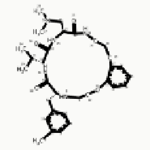 Cc1cccc(C[C@H]2NCCOc3ccccc3CCCNC(=O)[C@H](CN(C)C)NC(=O)[C@@H](C(C)C)NC2=O)c1